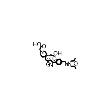 CC1CN(N=Cc2ccc(C3=NOC(CC4(OCC(=O)O)CCN(CC(=O)O)CC4)C3)cc2)CC(C)O1